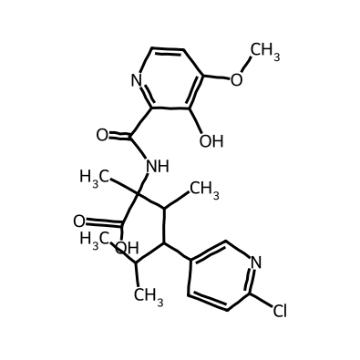 COc1ccnc(C(=O)NC(C)(C(=O)O)C(C)C(c2ccc(Cl)nc2)C(C)C)c1O